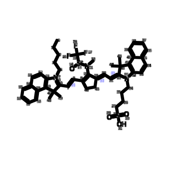 CCCCC[N+]1=C(/C=C/C2=C(N(C)[S+]([O-])C(F)(F)F)C(=C/C=C3/N(CCCCS(=O)(=O)O)c4ccc5ccccc5c4C3(C)C)/CC2)C(C)(C)c2c1ccc1ccccc21